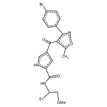 CCC(COC)NC(=O)c1cc(C(=O)c2c(-c3ccc(Br)cc3)noc2C)c[nH]1